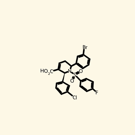 O=C(O)C1=CCC(c2cccc(Br)c2)N(S(=O)(=O)c2ccc(F)cc2)[C@H]1c1cccc(Cl)c1